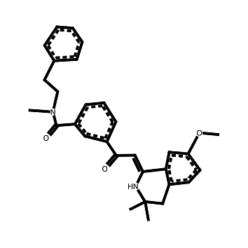 COc1ccc2c(c1)/C(=C/C(=O)c1cccc(C(=O)N(C)CCc3ccccc3)c1)NC(C)(C)C2